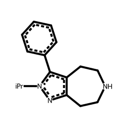 CC(C)n1nc2c(c1-c1ccccc1)CCNCC2